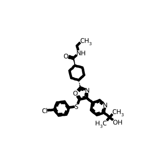 CCNC(=O)[C@H]1CC[C@H](c2nc(-c3ccc(C(C)(C)O)nc3)c(Sc3ccc(Cl)cc3)o2)CC1